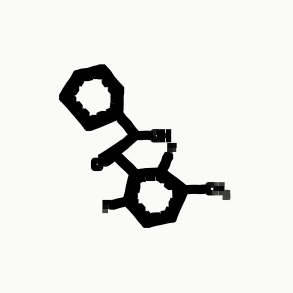 Cc1ccc(F)c(C(=O)C(O)c2ccccc2)c1F